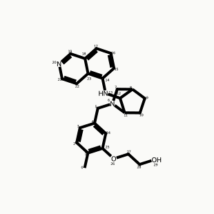 Cc1ccc(CN2CC3CCC2C3Nc2cccc3cnccc23)cc1OCCO